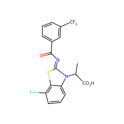 CC(C(=O)O)n1c(=NC(=O)c2cccc(C(F)(F)F)c2)sc2c(F)cccc21